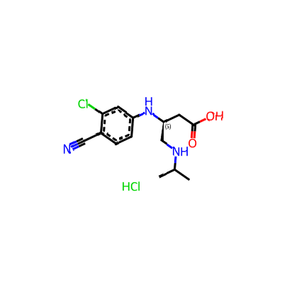 CC(C)NC[C@H](CC(=O)O)Nc1ccc(C#N)c(Cl)c1.Cl